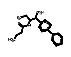 O=C(O)CCC(=O)NC(CC(F)(F)F)C(C(=O)O)c1ccc(-c2ccccc2)cc1